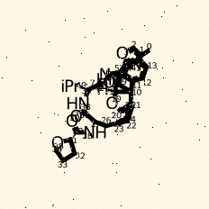 Cc1coc(-c2nc3oc2C24c5ccccc5N[C@H]2Oc2ccc(cc24)C[C@H](NC(=O)[C@@H]2CCCO2)C(=O)N[C@H]3C(C)C)n1